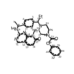 CCC(c1ccc(C(C)Nc2ncc3ccc(=O)n(C(C)C)c3n2)cc1)N1CCN(C(=O)Oc2ccccc2)CC1